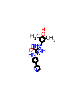 Cc1cc(CNc2[nH]nc(Nc3ccc(-c4cccnc4)cc3)c2C(N)=O)cc(C)c1O